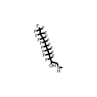 CNCC(O)C(F)(F)C(F)(F)C(F)(F)C(F)(F)C(F)(F)C(F)(F)C(F)(F)C(F)(F)F